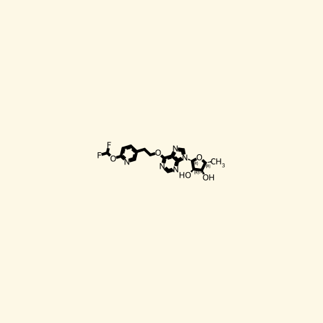 C[C@H]1O[C@@H](n2cnc3c(OCCc4ccc(OC(F)F)nc4)ncnc32)[C@H](O)[C@@H]1O